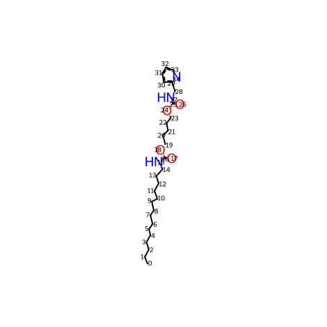 CCCCCCCCCCCCCCCNC(=O)OCCCCCOC(=O)NCc1ccccn1